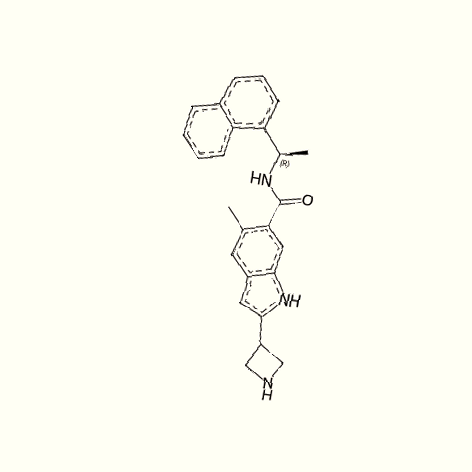 Cc1cc2cc(C3CNC3)[nH]c2cc1C(=O)N[C@H](C)c1cccc2ccccc12